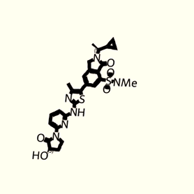 CNS(=O)(=O)c1cc(-c2sc(Nc3cccc(N4CC[C@H](O)C4=O)n3)nc2C)cc2c1C(=O)N([C@@H](C)C1CC1)C2